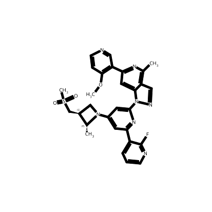 COc1ccncc1-c1cc2c(cnn2-c2cc(N3C[C@H](CS(C)(=O)=O)[C@H]3C)cc(-c3cccnc3F)n2)c(C)n1